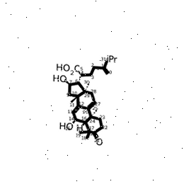 C=C(CC[C@@H](C(=O)O)[C@H]1[C@H](O)C[C@@]2(C)C3=C[C@H](O)[C@H]4C(C)(C)C(=O)CC[C@]4(C)C3=CC[C@]12C)C(C)C